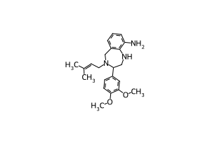 COc1ccc(C2CNc3c(N)cccc3CN2CC=C(C)C)cc1OC